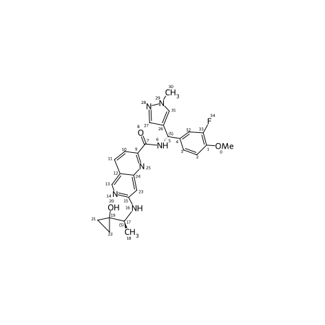 COc1ccc([C@H](NC(=O)c2ccc3cnc(N[C@@H](C)C4(O)CC4)cc3n2)c2cnn(C)c2)cc1F